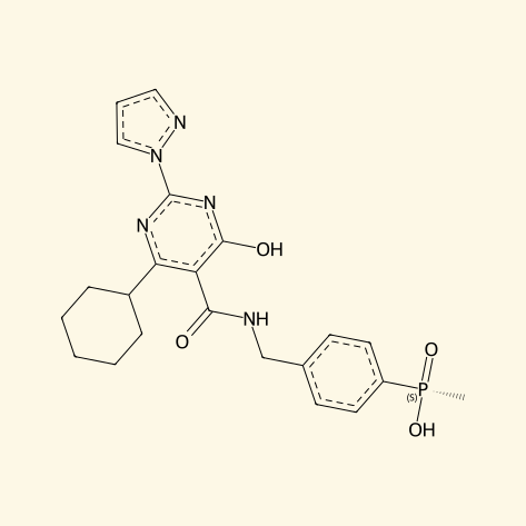 C[P@](=O)(O)c1ccc(CNC(=O)c2c(O)nc(-n3cccn3)nc2C2CCCCC2)cc1